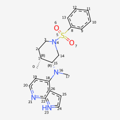 C[C@@H]1CCN(S(=O)(=O)c2ccccc2)C[C@@H]1N(C)c1ccnc2[nH]ccc12